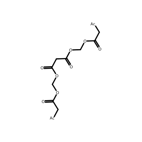 CC(=O)CC(=O)OCOC(=O)CC(=O)OCOC(=O)CC(C)=O